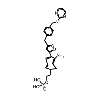 NC1=C\CC(CCOP(=O)(O)O)/C=C/C=C\1c1cc(Cc2ccc(CNc3ncccn3)cc2)no1